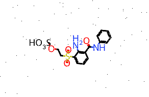 Nc1c(C(=O)Nc2ccccc2)cccc1S(=O)(=O)CCOS(=O)(=O)O